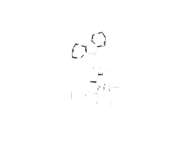 CC(C)[C@H](N)C(=O)C(=O)OCC1c2ccccc2-c2ccccc21